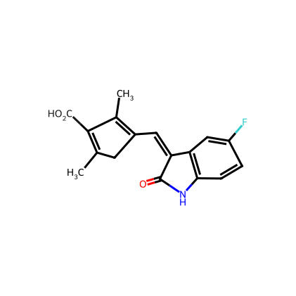 CC1=C(C(=O)O)C(C)=C(/C=C2\C(=O)Nc3ccc(F)cc32)C1